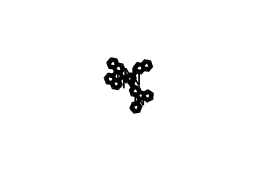 c1ccc(-n2c3ccccc3c3cc(-c4nc(-c5ccc6ccccc6c5)nc(N5c6ccc7ccccc7c6-c6cccc7cccc5c67)n4)ccc32)cc1